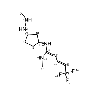 CNN[C@H]1CC[C@H](N/C(=N/C=C/C(F)(F)F)NC)C1